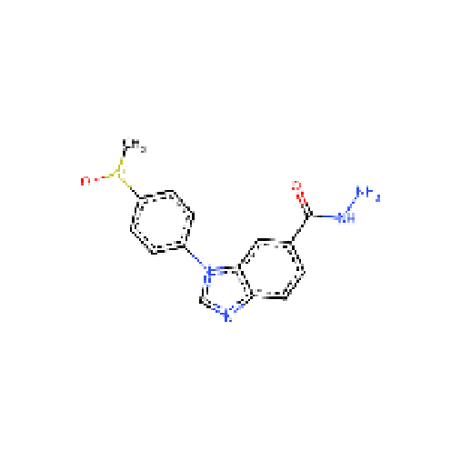 C[S+]([O-])c1ccc(-n2cnc3ccc(C(=O)NN)cc32)cc1